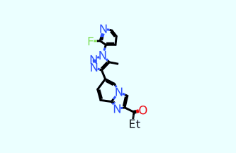 CCC(=O)c1cn2cc(-c3nnn(-c4cccnc4F)c3C)ccc2n1